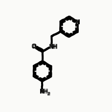 Nc1ccc(C(=O)NCc2ccncc2)cc1